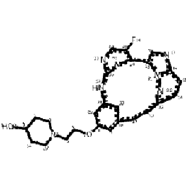 OC1CCN(CCOc2cc3ccc4ccc5ncc(c6nc(ncc6F)[nH]c(c2)c3)n5n4)CC1